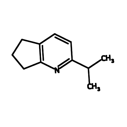 CC(C)c1ccc2c(n1)CCC2